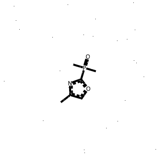 Cc1coc(P(C)(C)=O)n1